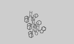 O=C(NC1C2CC3CC(C2)CC1C3)N1CCCC1.O=C(NC1C2CC3CC(C2)CC1C3)N1CCCCC1.O=C(NC1CCc2ccccc21)NC1C2CC3CC(C2)CC1C3